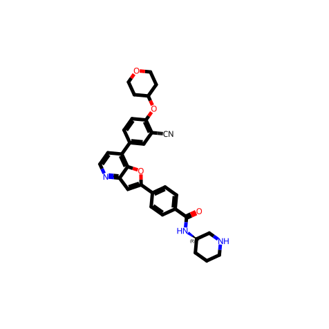 N#Cc1cc(-c2ccnc3cc(-c4ccc(C(=O)N[C@@H]5CCCNC5)cc4)oc23)ccc1OC1CCOCC1